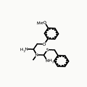 COc1cccc(OCC(N)N(C)C(N)SCc2ccccc2)c1